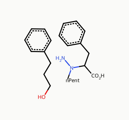 CCCCCN(N)C(Cc1ccccc1)C(=O)O.OCCCc1ccccc1